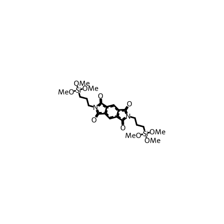 CO[Si](CCCn1c(=O)c2cc3c(=O)n(CCC[Si](OC)(OC)OC)c(=O)c3cc2c1=O)(OC)OC